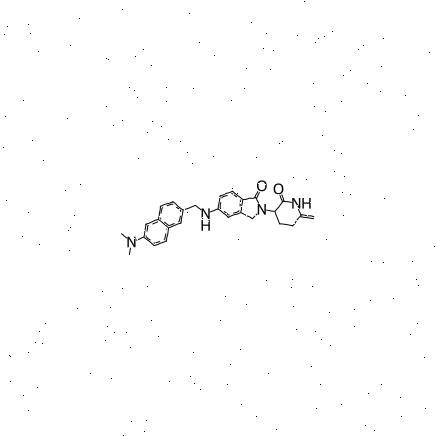 C=C1CCC(N2Cc3cc(NCc4ccc5cc(N(C)C)ccc5c4)ccc3C2=O)C(=O)N1